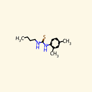 CCCCNC(=S)Nc1ccc(C)cc1C